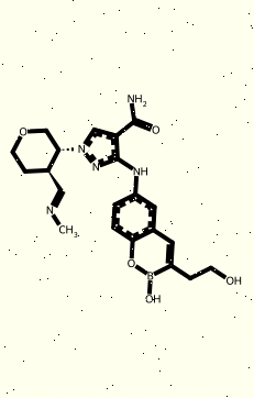 CN=C[C@H]1CCOC[C@@H]1n1cc(C(N)=O)c(Nc2ccc3c(c2)C=C(CCO)B(O)O3)n1